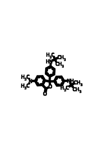 CN(C)c1ccc2c(c1)C(=O)OC2(c1ccc(NC(C)(C)C)cc1)c1ccc(NC(C)(C)C)cc1